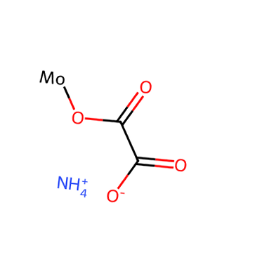 O=C([O-])C(=O)[O][Mo].[NH4+]